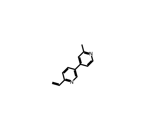 C=Cc1ccc(-c2ccnc(C)c2)cn1